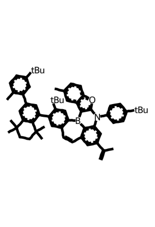 C=C(C)c1cc2c3c(c1)N(c1ccc(C(C)(C)C)cc1)c1oc4ccc(C)cc4c1B3c1cc(C(C)(C)C)c(-c3cc(-c4cc(C(C)(C)C)ccc4C)cc4c3C(C)(C)CCC4(C)C)cc1C=C2